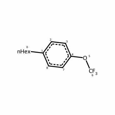 [CH]CCCCCc1ccc(OC(F)(F)F)cc1